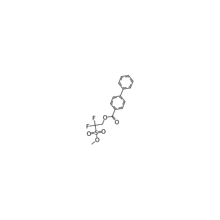 COS(=O)(=O)C(F)(F)COC(=O)c1ccc(-c2ccccc2)cc1